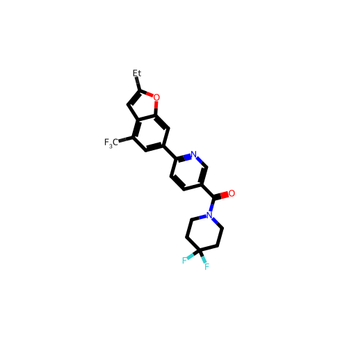 CCc1cc2c(C(F)(F)F)cc(-c3ccc(C(=O)N4CCC(F)(F)CC4)cn3)cc2o1